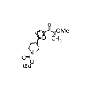 CON(C)C(=O)c1cnc(N2CCN(C(=O)OC(C)(C)C)CC2)o1